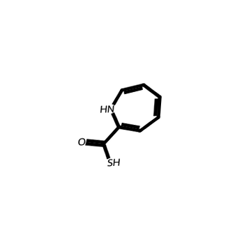 O=C(S)C1=CC=CC=CN1